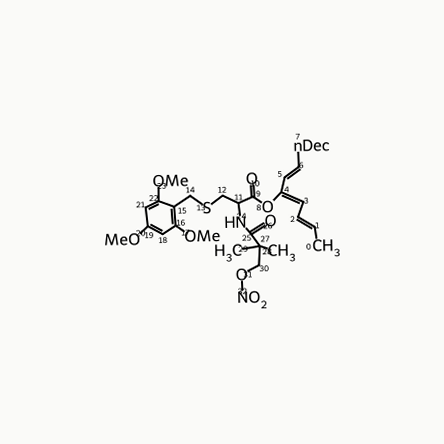 C/C=C/C=C(/C=C/CCCCCCCCCC)OC(=O)C(CSCc1c(OC)cc(OC)cc1OC)NC(=O)C(C)(C)CO[N+](=O)[O-]